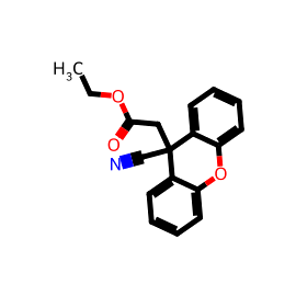 CCOC(=O)CC1(C#N)c2ccccc2Oc2ccccc21